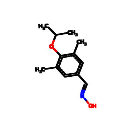 Cc1cc(C=NO)cc(C)c1OC(C)C